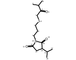 CC(C)C(=O)CSCCCN1C(=O)CC(C(C)C)C1=O